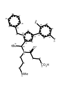 CNCCCN(C(=O)CCC(=O)O)C(c1cc(-c2cc(F)ccc2F)cn1Cc1ccccc1)C(C)(C)C